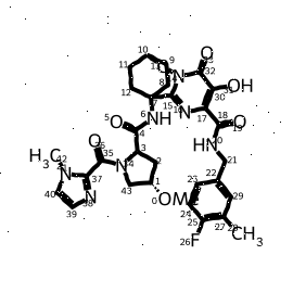 CO[C@H]1CC(C(=O)NC23CCC(CC2)Cn2c3nc(C(=O)NCc3ccc(F)c(C)c3)c(O)c2=O)N(C(=O)c2nccn2C)C1